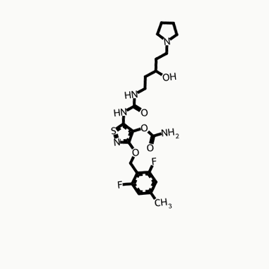 Cc1cc(F)c(COc2nsc(NC(=O)NCCC(O)CCN3CCCC3)c2OC(N)=O)c(F)c1